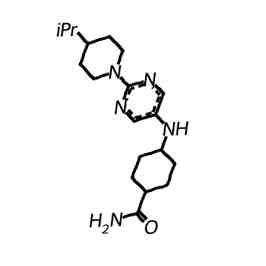 CC(C)C1CCN(c2ncc(NC3CCC(C(N)=O)CC3)cn2)CC1